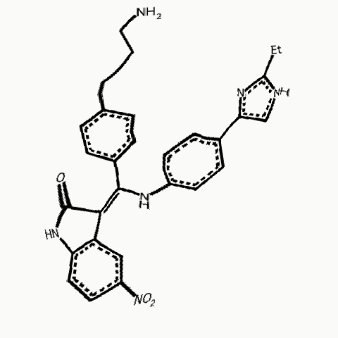 CCc1nc(-c2ccc(NC(=C3C(=O)Nc4ccc([N+](=O)[O-])cc43)c3ccc(CCCN)cc3)cc2)c[nH]1